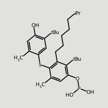 Cc1cc(O)c(C(C)(C)C)cc1Sc1c(C)cc(OP(O)O)c(C(C)(C)C)c1CCCCCC(C)C